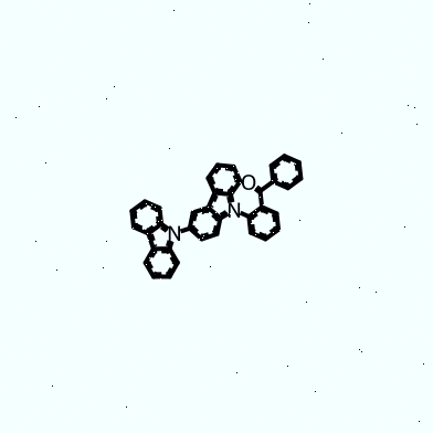 O=C(c1ccccc1)c1ccccc1-n1c2ccccc2c2cc(-n3c4ccccc4c4ccccc43)ccc21